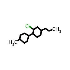 CCCC1CCC(C2CCC(C)CC2)C(Cl)C1